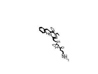 CCNC(=O)C(Cc1ccccc1)NC(=O)CNC(=O)CNC(=O)CCN